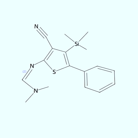 CN(C)/C=N\c1sc(-c2ccccc2)c([Si](C)(C)C)c1C#N